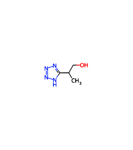 CC(CO)c1nnn[nH]1